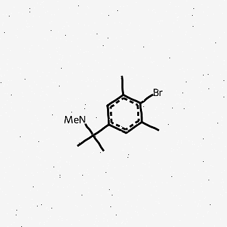 CNC(C)(C)c1cc(C)c(Br)c(C)c1